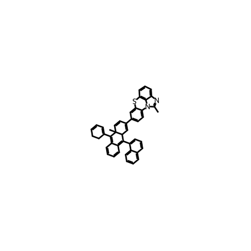 Cc1nc2cccc3c2n1-c1ccc(C2=CC4C(c5cccc6ccccc56)=c5ccccc5=C(C5=CC=CCC5)C4(C)C=C2)cc1S3